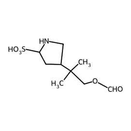 CC(C)(COC=O)C1CNC(S(=O)(=O)O)C1